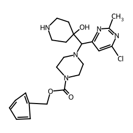 Cc1nc(Cl)cc(C(N2CCN(C(=O)OCc3ccccc3)CC2)C2(O)CCNCC2)n1